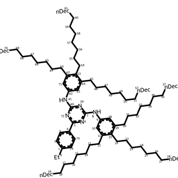 [CH2]Cc1ccc(-c2nc(Nc3cc(CCCCCCCCCCCCCCCCC)c(CCCCCCCCCCCCCCCCC)c(CCCCCCCCCCCCCCCCC)c3)nc(Nc3cc(CCCCCCCCCCCCCCCCC)c(CCCCCCCCCCCCCCCCC)c(CCCCCCCCCCCCCCCCC)c3)n2)cc1